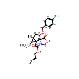 C=CCOC(=O)N1COC(=O)[C@]12[C@H]1[C@@H](C[C@H]2OCc2ccc(F)cc2)[C@@H]1C(=O)O